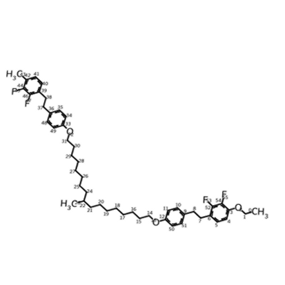 CCOc1ccc(CCc2ccc(OCCCCCCCCC(C)CCCCCCCCOc3ccc(CCc4ccc(C)c(F)c4F)cc3)cc2)c(F)c1F